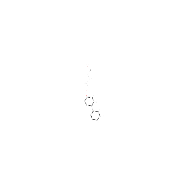 BrCCCCCOc1ccc(-c2ccccc2)cc1